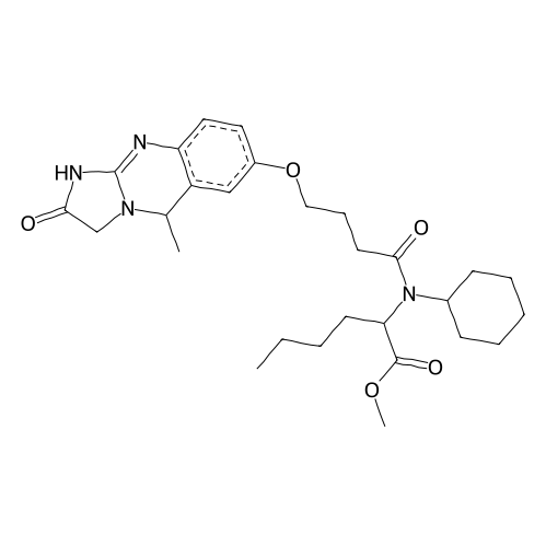 CCCCC(C(=O)OC)N(C(=O)CCCOc1ccc2c(c1)C(C)N1CC(=O)NC1=N2)C1CCCCC1